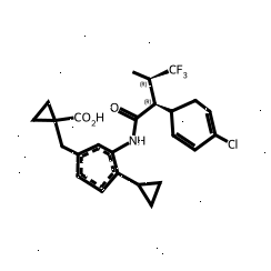 C[C@H]([C@H](C(=O)Nc1cc(CC2(C(=O)O)CC2)ccc1C1CC1)C1C=CC(Cl)=CC1)C(F)(F)F